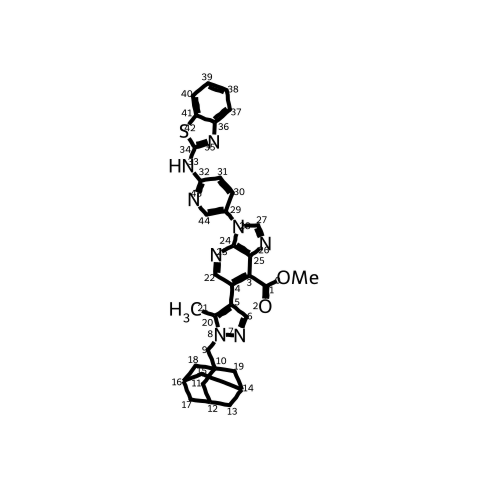 COC(=O)c1c(-c2cnn(CC34CC5CC(CC(C5)C3)C4)c2C)cnc2c1ncn2-c1ccc(Nc2nc3ccccc3s2)nc1